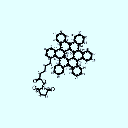 O=C(CCCCc1cccc2c1c1c3ccccc3c3c4ccccc4c4c5ccccc5c5c6ccccc6c6c7ccccc7c2c2c6c5c4c3c12)ON1C(=O)CCC1=O